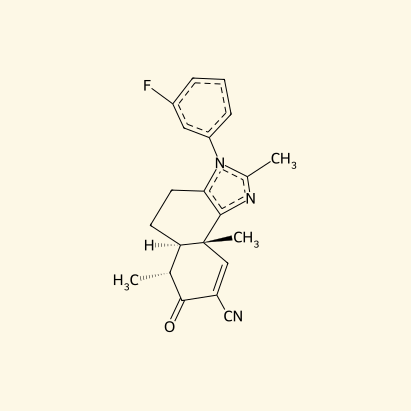 Cc1nc2c(n1-c1cccc(F)c1)CC[C@@H]1[C@@H](C)C(=O)C(C#N)=C[C@@]21C